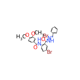 COc1ccc(C(=O)Nc2ccc(Br)cc2C(=O)N[N+](Br)=Cc2ccccc2)cc1OC